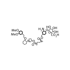 COc1ccc(CCO[C@@H]2CCCC[C@H]2N2CC[C@@H](OC(=O)N(C)CCN(C)C(=O)OCc3ccc(OC4OC(C(=O)O)C(O)C(O)C4O)c(N)c3)C2)cc1OC